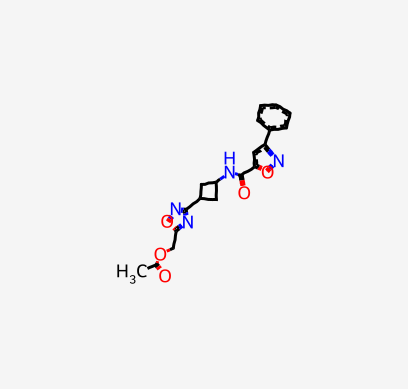 CC(=O)OCc1nc(C2CC(NC(=O)c3cc(-c4ccccc4)no3)C2)no1